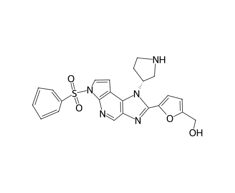 O=S(=O)(c1ccccc1)n1ccc2c1ncc1nc(-c3ccc(CO)o3)n([C@@H]3CCNC3)c12